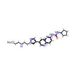 COCCNCCn1cc(-c2cnc3ccc(NC(=O)NC4CCCC4)nc3c2)cn1